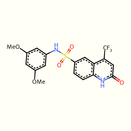 COc1cc(NS(=O)(=O)c2ccc3[nH]c(=O)cc(C(F)(F)F)c3c2)cc(OC)c1